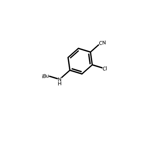 CCC(C)Nc1ccc(C#N)c(Cl)c1